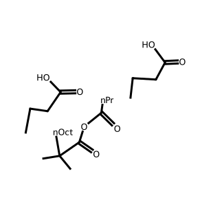 CCCC(=O)O.CCCC(=O)O.CCCCCCCCC(C)(C)C(=O)OC(=O)CCC